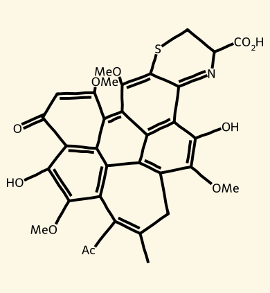 COC1=CC(=O)c2c(O)c(OC)c3c4c2c1c1c(OC)c2c(c5c(O)c(OC)c(c4c15)CC(C)=C3C(C)=O)=NC(C(=O)O)CS2